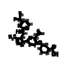 Cn1nnc(-c2ccc(O[C@H]3CCC[C@H](C(=O)O)C3)c(C3CC3)n2)c1CNc1nccc(C(F)F)n1